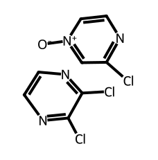 Clc1nccnc1Cl.[O-][n+]1ccnc(Cl)c1